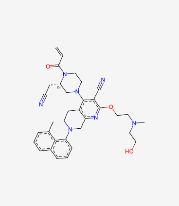 C=CC(=O)N1CCN(c2c(C#N)c(OCCN(C)CCO)nc3c2CCN(c2cccc4cccc(C)c24)C3)C[C@@H]1CC#N